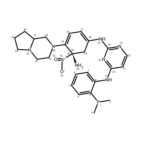 CP(C)c1ccccc1Nc1ccnc(NC2=CC=C(N3CCN4CCCC4C3)[C@@](N)([N+](=O)[O-])C2)n1